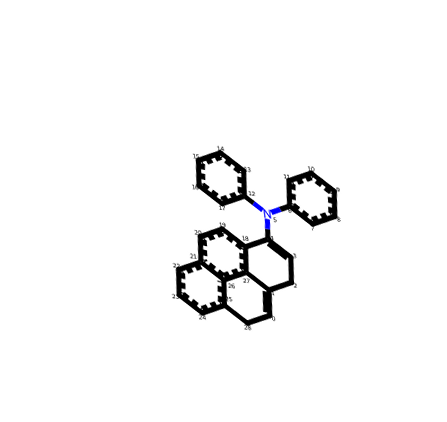 C1=C2CC=C(N(c3ccccc3)c3ccccc3)c3ccc4cccc(c4c32)C1